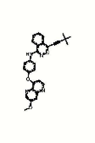 COc1cnc2c(Oc3ccc(Nc4nnc(C#CC(C)(C)C)c5ccccc45)cc3)ccnc2c1